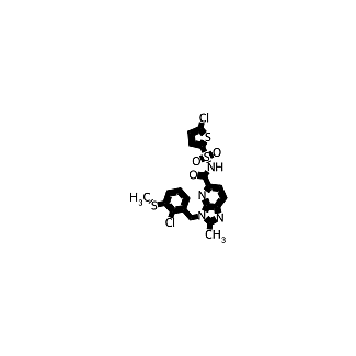 CSc1cccc(Cn2c(C)nc3ccc(C(=O)NS(=O)(=O)c4ccc(Cl)s4)nc32)c1Cl